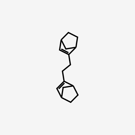 C1=C(CCC2=CC3CCC2C3)C2CCC1C2